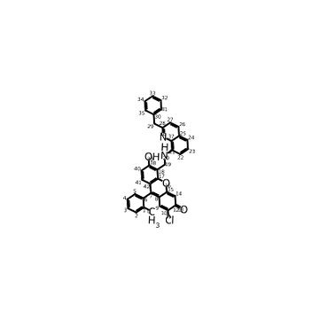 Cc1ccccc1-c1c2cc(Cl)c(=O)cc-2oc2c(CNc3cccc4ccc(Cc5ccccc5)nc34)c(O)ccc12